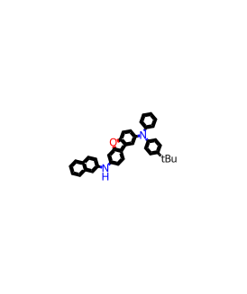 CC(C)(C)c1ccc(N(c2ccccc2)c2ccc3oc4cc(Nc5ccc6ccccc6c5)ccc4c3c2)cc1